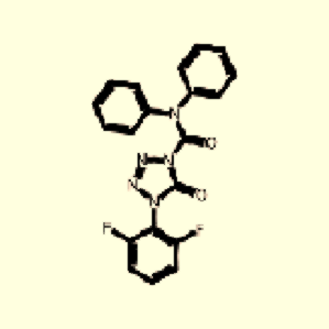 O=C(N(c1ccccc1)c1ccccc1)n1nnn(-c2c(F)cccc2F)c1=O